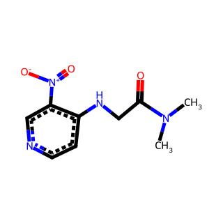 CN(C)C(=O)CNc1ccncc1[N+](=O)[O-]